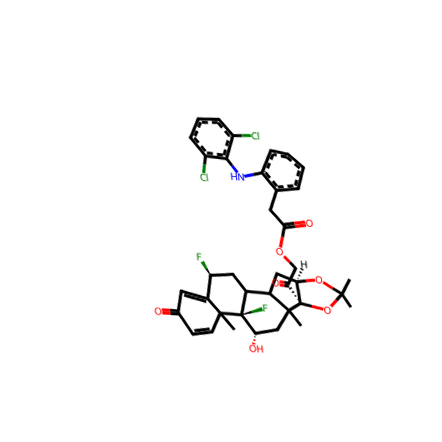 CC1(C)O[C@@H]2CC3C4C[C@H](F)C5=CC(=O)C=CC5(C)[C@@]4(F)[C@@H](O)CC3(C)[C@]2(C(=O)COC(=O)Cc2ccccc2Nc2c(Cl)cccc2Cl)O1